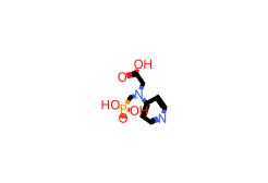 O=C(O)CN(CP(=O)(O)O)c1ccncc1